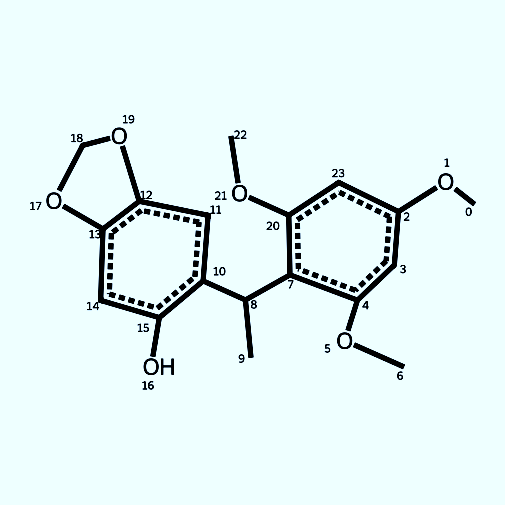 COc1cc(OC)c(C(C)c2cc3c(cc2O)OCO3)c(OC)c1